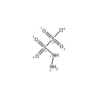 NNS(=O)(=O)S(=O)(=O)Cl